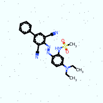 CCN(CC)c1ccc(/N=N/c2c(C#N)cc(-c3ccccc3)cc2C#N)c(NS(C)(=O)=O)c1